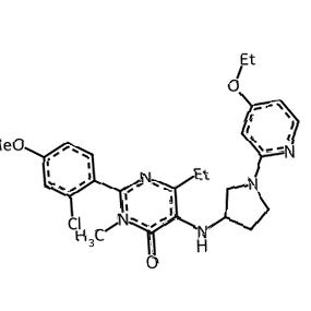 CCOc1ccnc(N2CCC(Nc3c(CC)nc(-c4ccc(OC)cc4Cl)n(C)c3=O)C2)c1